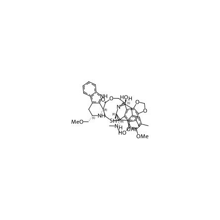 COC[C@@H]1Cc2c([nH]c3ccccc23)[C@@]2(CS[C@@H]3c4c(OC(C)=O)c(C)c5c(c4[C@H](COC2=O)N2[C@@H]3[C@@H](N(C)C)c3c(cc(C)c(OC)c3O)C[C@@H]2O)OCO5)N1